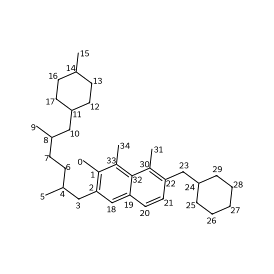 Cc1c(CC(C)CCC(C)CC2CCC(C)CC2)cc2ccc(CC3CCCCC3)c(C)c2c1C